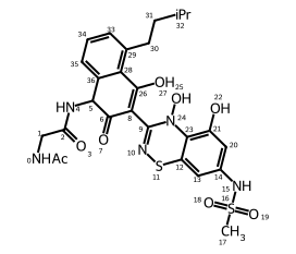 CC(=O)NCC(=O)NC1C(=O)C(C2=NSc3cc(NS(C)(=O)=O)cc(O)c3N2O)=C(O)c2c(CCC(C)C)cccc21